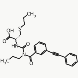 CCCSC[C@H](NC(=O)N(CCC)C(=O)c1cccc(C#Cc2ccccc2)c1)C(=O)O